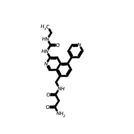 CCNC(=O)Nc1cc2c(-c3ccncc3)ccc(CNC(=O)CC(N)=O)c2cn1